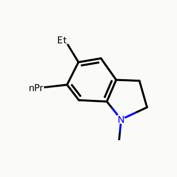 CCCc1cc2c(cc1CC)CCN2C